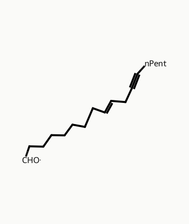 CCCCCC#CCC=CCCCCCCC[C]=O